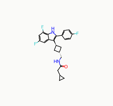 O=C(CC1CC1)NC[C@H]1C[C@H](c2c(-c3ccc(F)cc3)[nH]c3c(F)cc(F)cc32)C1